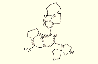 C[C@H](Oc1cc(N2CCNCC23CCOC3)nc(-c2onc3c2CCC[C@@]32CCCCC2=O)n1)[C@@H]1CCCN1C